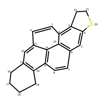 c1cc2c3c(cc4ccc5c6c(cc1c5c42)CCCC6)SCC3